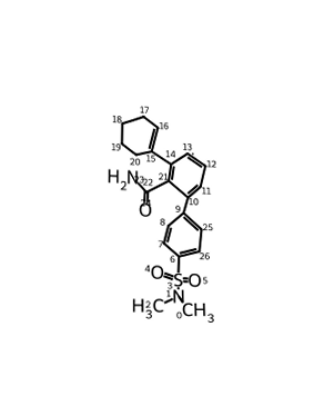 CN(C)S(=O)(=O)c1ccc(-c2cc[c]c(C3=CCCCC3)c2C(N)=O)cc1